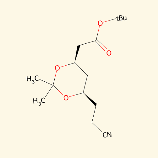 CC(C)(C)OC(=O)C[C@H]1C[C@@H](CCC#N)OC(C)(C)O1